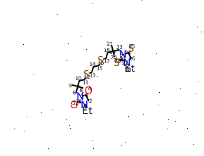 CCN1CC(=O)N(CC(C)(C)CCSCCCSCCC(C)(C)CN2C(=S)CN(CC)C2=S)C1=O